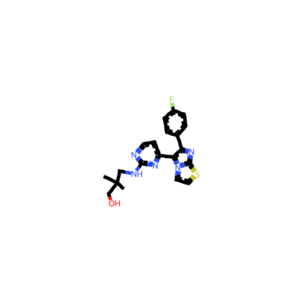 CC(C)(CO)CNc1nccc(-c2c(-c3ccc(F)cc3)nc3sccn23)n1